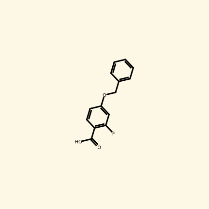 O=C(O)c1ccc(OCc2ccccc2)cc1F